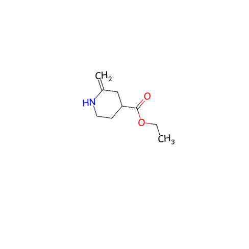 C=C1CC(C(=O)OCC)CCN1